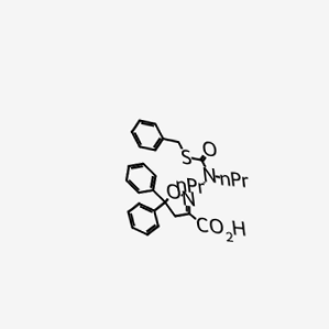 CCCN(CCC)C(=O)SCc1ccccc1.O=C(O)C1=NOC(c2ccccc2)(c2ccccc2)C1